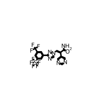 NC(=O)/C(=C/n1cnc(-c2cc(C(F)(F)F)cc(S(F)(F)(F)(F)F)c2)n1)c1cncnc1